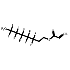 C=CC(=O)SCCC(F)(F)C(F)(F)C(F)(F)C(F)(F)C(F)(F)C(F)(F)F